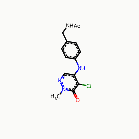 CC(=O)NCc1ccc(Nc2cnn(C)c(=O)c2Cl)cc1